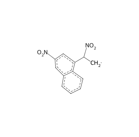 [CH2]C(c1cc([N+](=O)[O-])cc2ccccc12)[N+](=O)[O-]